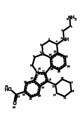 NCCNC1CCN2CCn3c(c(C4CCCCC4)c4ccc(C(=O)O)cc43)-c3cccc1c32